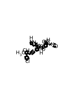 CC1(C)CCC(CN2CCN(c3ccc(C(=O)NS(=O)(=O)c4ccc(NCCN5CCOCC5)c([N+](=O)[O-])c4)c(-n4ncc5nc6[nH]ccc6cc54)c3)CC2)=C(c2ccc(Cl)cc2)C1